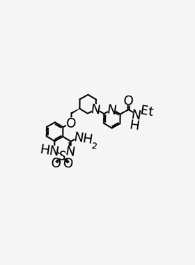 CCNC(=O)c1cccc(N2CCC[C@H](COc3cccc4c3C(N)=NS(=O)(=O)N4)C2)n1